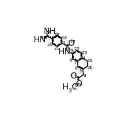 COC(=O)CC1=Cc2cc(NC(=O)c3ccc(C(=N)N)cc3)ccc2CC1